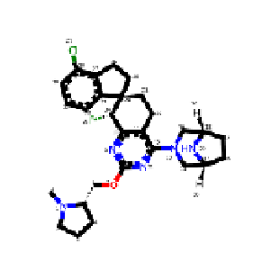 CN1CCC[C@H]1COc1nc2c(c(N3C[C@H]4CC[C@@H](C3)N4)n1)CC[C@@]1(CCc3c(Cl)cccc31)[C@H]2F